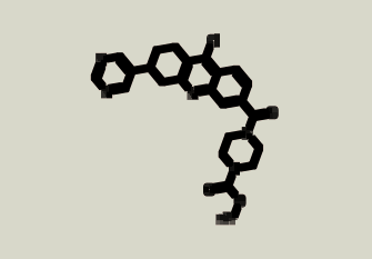 CCCOC(=O)N1CCN(C(=O)c2ccc3c(Cl)c4c(nc3c2)CC(c2cncnc2)CC4)CC1